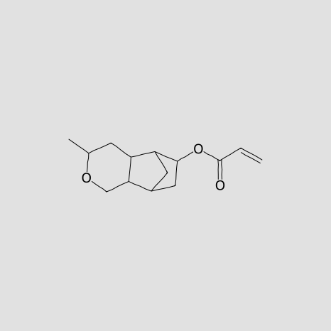 C=CC(=O)OC1CC2CC1C1CC(C)OCC21